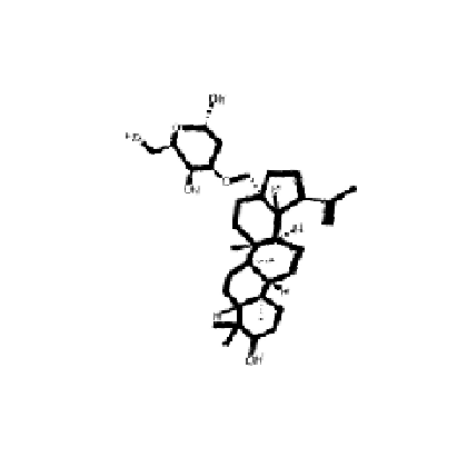 C=C(C)[C@@H]1CC[C@]2(CO[C@@H]3C[C@@H](O)O[C@H](CO)[C@@H]3O)CC[C@]3(C)[C@H](CC[C@@H]4[C@@]5(C)CCC(O)C(C)(C)[C@@H]5CC[C@]43C)[C@@H]12